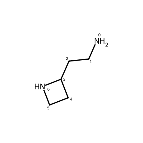 NCCC1CCN1